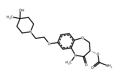 CN1C(=O)[C@@H](OC(N)=O)COc2ccc(OCCN3CCC(C)(O)CC3)cc21